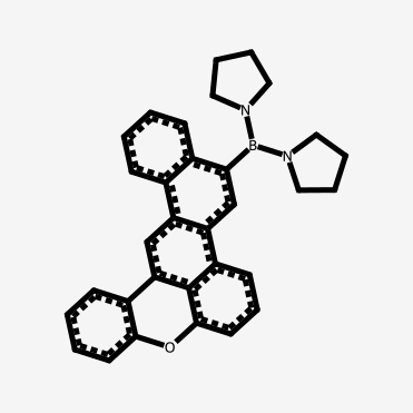 c1ccc2c(c1)Oc1cccc3c1c-2cc1c2ccccc2c(B(N2CCCC2)N2CCCC2)cc31